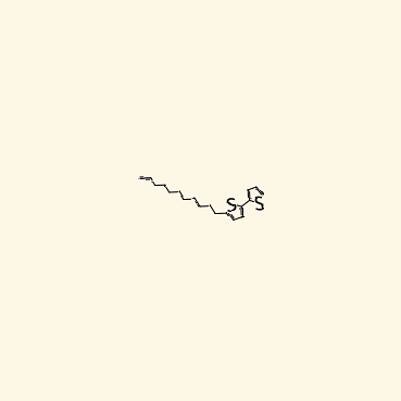 C=CCCCCCCCCCc1ccc(-c2cccs2)s1